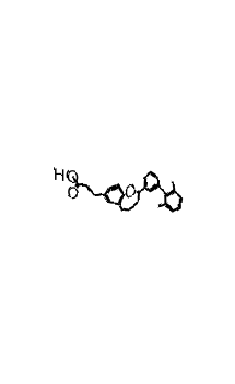 Cc1cccc(C)c1-c1cccc(C2CCCc3cc(CCC(=O)O)ccc3O2)c1